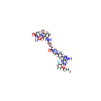 COc1cccc(F)c1-c1ncc2[nH]nc(-c3ccc(N4CCN(C(=O)CCOCCNc5cccc6c5C(=O)N(C5CCC(=O)NC5=O)C6=O)CC4)cc3)c2n1